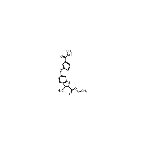 CCOC(=O)c1sc2cc(Oc3cccc(C(=O)NC)c3)ccc2c1C